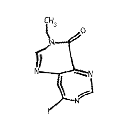 Cn1cnc2c(I)ncnc2c1=O